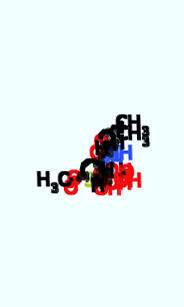 CC(=O)OC[C@@H]1CC=CC[C@@H](NC(=O)[C@H]2NC[C@@H]3C[C@H](CC(C)C)CCO[C@H]32)[C@H]2O[C@H](S1)[C@H](O)[C@@H](O)[C@H]2O.O=CO